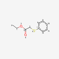 CCOC(=O)CSc1ccccc1